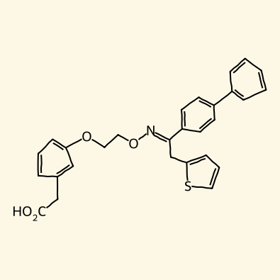 O=C(O)Cc1cccc(OCCO/N=C(\Cc2cccs2)c2ccc(-c3ccccc3)cc2)c1